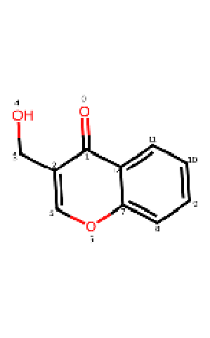 O=c1c([CH]O)coc2ccccc12